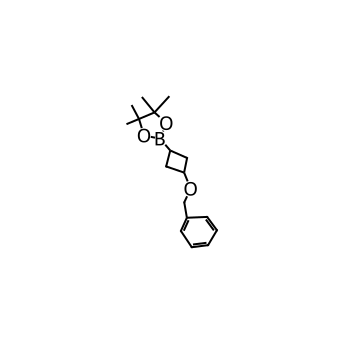 CC1(C)OB(C2CC(OCc3ccccc3)C2)OC1(C)C